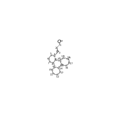 O=CC=Pc1cccc2c3ccccc3c3ccccc3c12